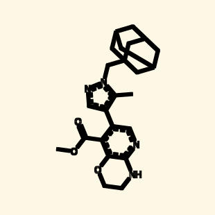 COC(=O)c1c(-c2cnn(CC34CC5CC(CC(C5)C3)C4)c2C)cnc2c1OCCN2